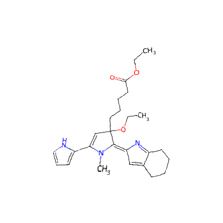 CCOC(=O)CCCCC1(OCC)C=C(c2ccc[nH]2)N(C)C1=C1C=C2CCCCC2=N1